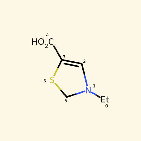 [CH2]CN1C=C(C(=O)O)SC1